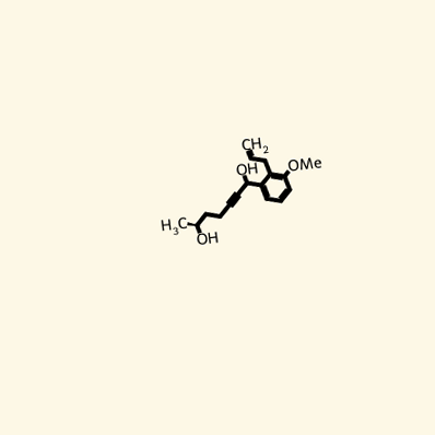 C=CCc1c(OC)cccc1C(O)C#CCC[C@H](C)O